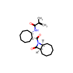 C=C(C)C(=O)N[C@H]1CCCCCC[C@H]1C(=O)N1C(=O)[C@@H]2CCCCCC[C@@H]21